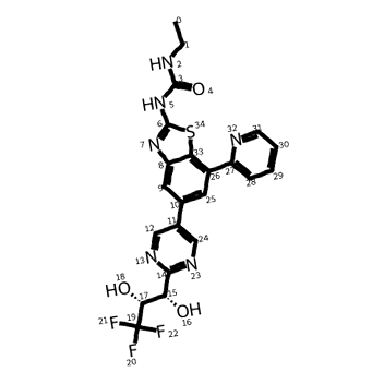 CCNC(=O)Nc1nc2cc(-c3cnc([C@H](O)[C@@H](O)C(F)(F)F)nc3)cc(-c3ccccn3)c2s1